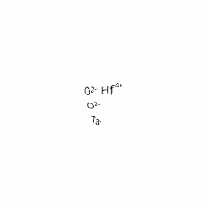 [Hf+4].[O-2].[O-2].[Ta]